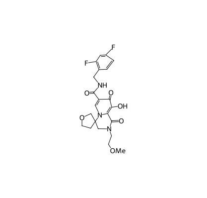 COCCN1CC2(CCOC2)n2cc(C(=O)NCc3ccc(F)cc3F)c(=O)c(O)c2C1=O